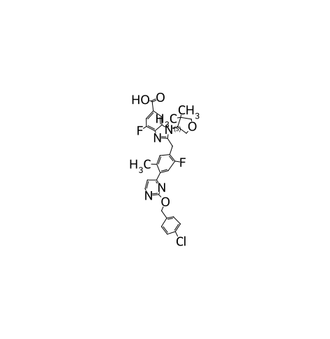 Cc1cc(Cc2nc3c(F)cc(C(=O)O)cc3n2[C@@H]2COCC2(C)C)c(F)cc1-c1ccnc(OCc2ccc(Cl)cc2)n1